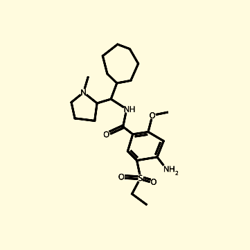 CCS(=O)(=O)c1cc(C(=O)NC(C2CCCCCC2)C2CCCN2C)c(OC)cc1N